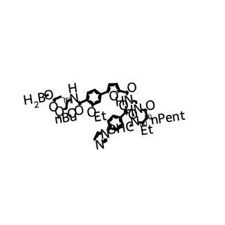 BOC(=O)C[C@H](NC(=O)c1ccc(-c2ccc(C(=O)NCNC(=O)[C@H](CCCCC)[C@@H](CC)N(C=O)OC(=O)c3ccc(-n4ccnc4)cc3)o2)cc1OCC)C(=O)OCCCC